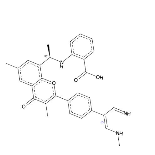 CN/C=C(\C=N)c1ccc(-c2oc3c([C@@H](C)Nc4ccccc4C(=O)O)cc(C)cc3c(=O)c2C)cc1